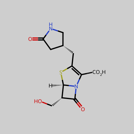 O=C1C[C@@H](CC2=C(C(=O)O)N3C(=O)[C@H](CO)[C@H]3S2)CN1